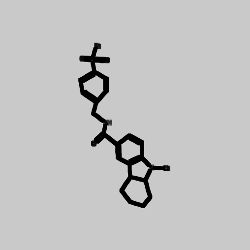 CCN1c2ccc(C(=O)NCc3ccc(S(=O)(=O)CC)cc3)cc2C2CCCCC21